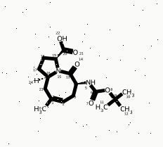 C/C1=C/C[C@H](NC(=O)OC(C)(C)C)C(=O)N2[C@H](CC[C@H]2C(=O)O)C1